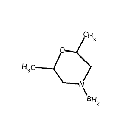 BN1CC(C)OC(C)C1